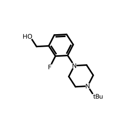 CC(C)(C)N1CCN(c2cccc(CO)c2F)CC1